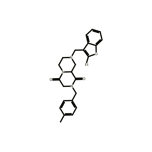 CCc1oc2ccccc2c1CN1CCN2C(=O)CN(Cc3ccc(C)cc3)C(=O)C2C1